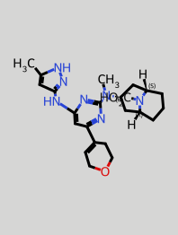 Cc1cc(Nc2cc(C3=CCOCC3)nc(N(C)[C@H]3C[C@H]4CCC[C@@H](C3)N4C(=O)O)n2)n[nH]1